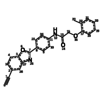 C#Cc1ccc2oc(-c3ccc(NC(=O)COc4ccccc4C)cc3)nc2c1